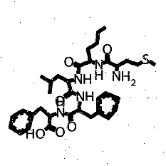 CCCCC(NC(=O)C(N)CCSC)C(=O)NC(CC(C)C)C(=O)NC(Cc1ccccc1)C(=O)NC(Cc1ccccc1)C(=O)O